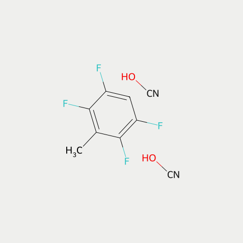 Cc1c(F)c(F)cc(F)c1F.N#CO.N#CO